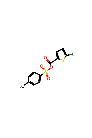 Cc1ccc(S(=O)(=O)OC(=O)c2ccc(Cl)s2)cc1